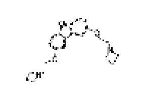 c1cc2oc3ccc(OCCN4CCC4)cc3c2cc1OCCN1CCC1